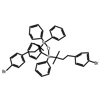 CC(C)(CCc1ccc(Br)cc1)[Si](O[Si](c1ccccc1)(c1ccccc1)C(C)(C)CCc1ccc(Br)cc1)(c1ccccc1)c1ccccc1